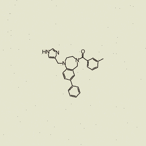 Cc1cccc(C(=O)N2CCN(Cc3c[nH]cn3)c3ccc(-c4ccccc4)cc3C2)c1